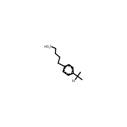 CCC(C)(C)c1ccc(CCCCS(=O)(=O)O)cc1